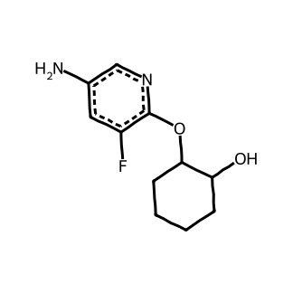 Nc1cnc(OC2CCCCC2O)c(F)c1